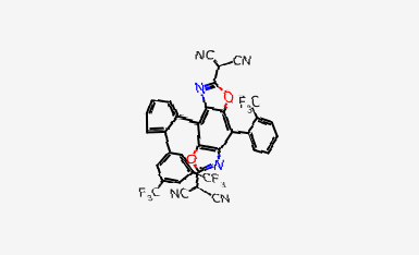 N#CC(C#N)c1nc2c(-c3ccccc3C(F)(F)F)c3oc(C(C#N)C#N)nc3c(-c3ccccc3-c3cc(C(F)(F)F)cc(C(F)(F)F)c3)c2o1